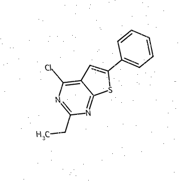 CCc1nc(Cl)c2cc(-c3ccccc3)sc2n1